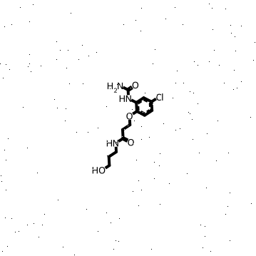 NC(=O)Nc1cc(Cl)ccc1OCCC(=O)NCCCO